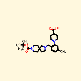 Cc1ccc(CN2CCC3(CCN(C(=O)OC(C)(C)C)CC3)C2)c(N2CCC(C(=O)O)CC2)c1